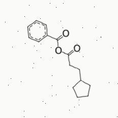 O=C(CCC1CCCC1)OC(=O)c1ccccc1